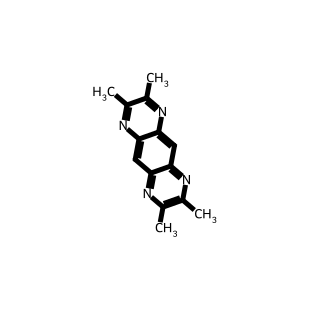 Cc1nc2cc3nc(C)c(C)nc3cc2nc1C